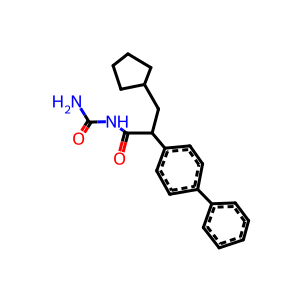 NC(=O)NC(=O)C(CC1CCCC1)c1ccc(-c2ccccc2)cc1